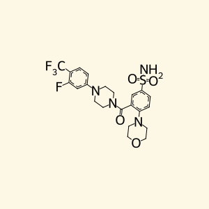 NS(=O)(=O)c1ccc(N2CCOCC2)c(C(=O)N2CCN(c3ccc(C(F)(F)F)c(F)c3)CC2)c1